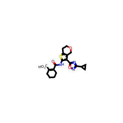 O=C(O)C1=C(C(=O)Nc2sc3c(c2-c2nc(C4CC4)no2)COCC3)CCCC1